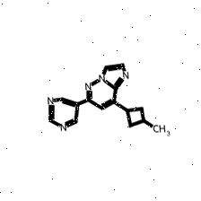 CC1CC(c2cc(-c3cncnc3)nn3ccnc23)C1